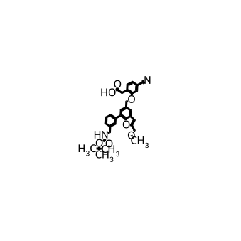 COCc1cc2cc(COc3cc(C#N)ccc3CC(=O)O)cc(-c3cccc(CNC(=O)OC(C)(C)C)c3)c2o1